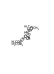 Cc1cn2cc(NC(=O)c3ccc(N4CCN(C(=O)OC(C)(C)C)CC4)c4ccnnc34)nc2c(C)n1